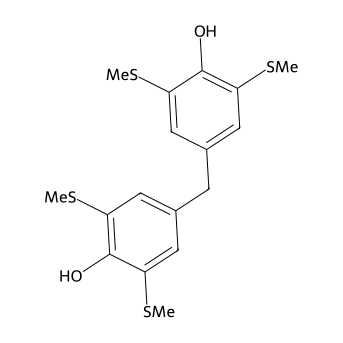 CSc1cc(Cc2cc(SC)c(O)c(SC)c2)cc(SC)c1O